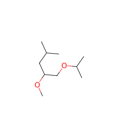 COC(COC(C)C)CC(C)C